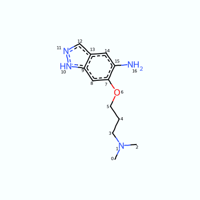 CN(C)CCCOc1cc2[nH]ncc2cc1N